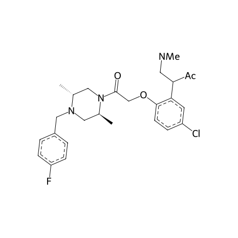 CNCC(C(C)=O)c1cc(Cl)ccc1OCC(=O)N1C[C@@H](C)N(Cc2ccc(F)cc2)C[C@@H]1C